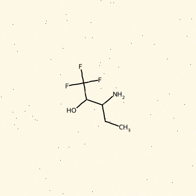 CCC(N)C(O)C(F)(F)F